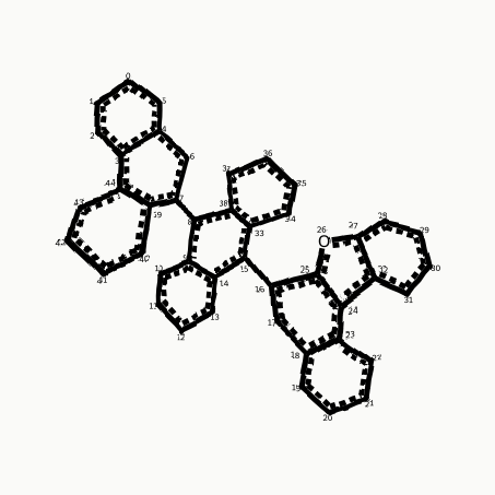 c1ccc2c(c1)cc(-c1c3ccccc3c(-c3cc4ccccc4c4c3oc3ccccc34)c3ccccc13)c1ccccc12